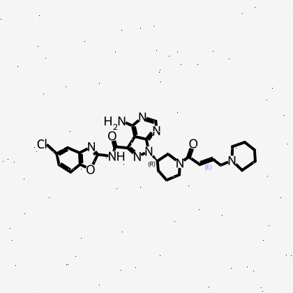 Nc1ncnc2c1c(C(=O)Nc1nc3cc(Cl)ccc3o1)nn2[C@@H]1CCCN(C(=O)/C=C/CN2CCCCC2)C1